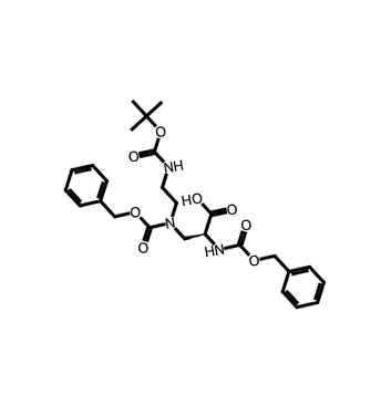 CC(C)(C)OC(=O)NCCN(C[C@H](NC(=O)OCc1ccccc1)C(=O)O)C(=O)OCc1ccccc1